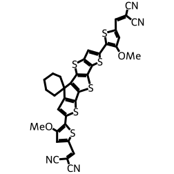 COc1cc(C=C(C#N)C#N)sc1-c1cc2c(s1)-c1sc3c(sc4cc(-c5sc(C=C(C#N)C#N)cc5OC)sc43)c1C21CCCCC1